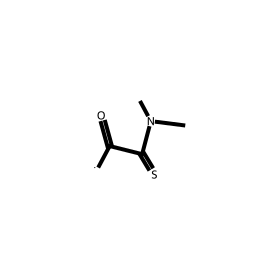 [CH2]C(=O)C(=S)N(C)C